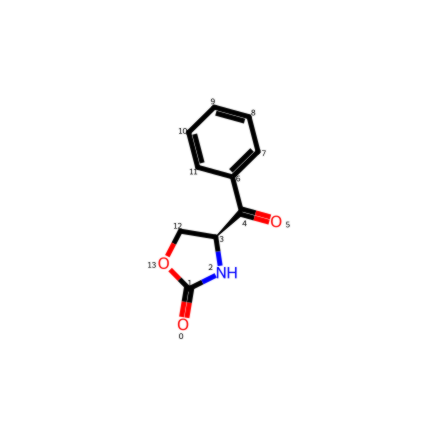 O=C1N[C@H](C(=O)c2ccccc2)CO1